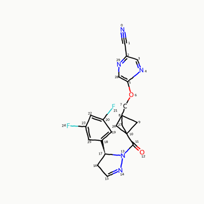 N#Cc1cnc(OCC23CC(C(=O)N4N=CC[C@H]4c4cc(F)cc(F)c4)(C2)C3)cn1